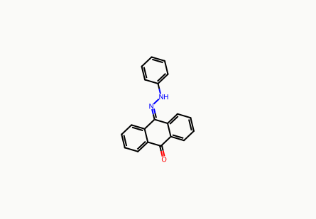 O=C1c2ccccc2C(=NNc2ccccc2)c2ccccc21